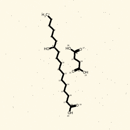 CCCCCCC(O)CCCCCCCCCCC(=O)O.O=C(O)CCC(=O)O